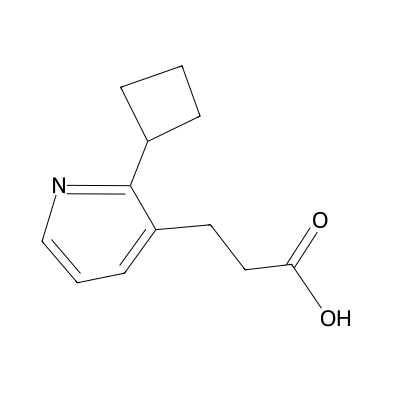 O=C(O)CCc1cccnc1C1CCC1